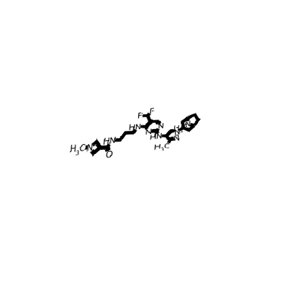 Cc1nn(C2CC3CCC(C2)N3C)cc1Nc1ncc(C(F)F)c(NCCCNC(=O)C2CN(C)C2)n1